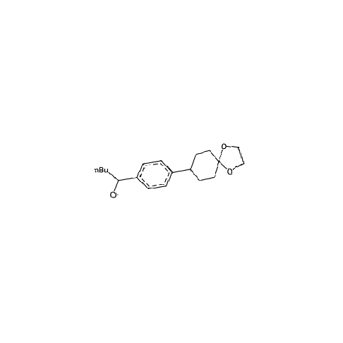 CCCCC([O])c1ccc(C2CCC3(CC2)OCCO3)cc1